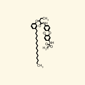 CCCCCCCCCCCCCCCc1cccc(OC(CC)C(=O)Nc2ccc(Oc3cc(NS(C)(=O)=O)ccc3[O])cc2)c1